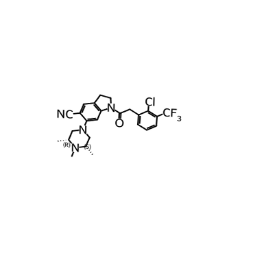 C[C@@H]1CN(c2cc3c(cc2C#N)CCN3C(=O)Cc2cccc(C(F)(F)F)c2Cl)C[C@H](C)N1C